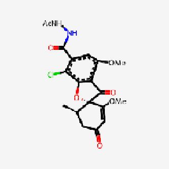 COC1=CC(=O)C[C@@H](C)[C@]12Oc1c(Cl)c(C(=O)NNC(C)=O)cc(OC)c1C2=O